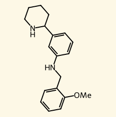 COc1ccccc1CNc1cccc(C2CCCCN2)c1